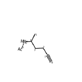 C#CCCC(C)NC(C)=O